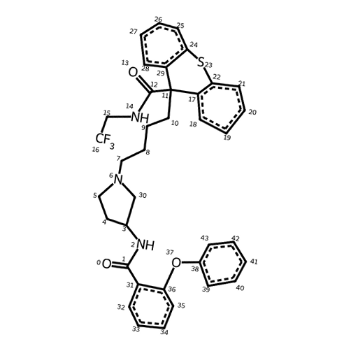 O=C(NC1CCN(CCCCC2(C(=O)NCC(F)(F)F)c3ccccc3Sc3ccccc32)C1)c1ccccc1Oc1ccccc1